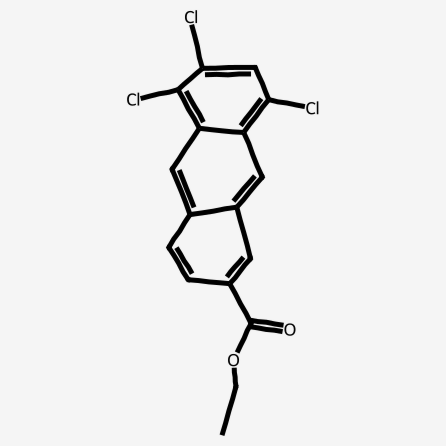 CCOC(=O)c1ccc2cc3c(Cl)c(Cl)cc(Cl)c3cc2c1